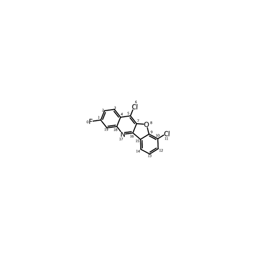 Fc1ccc2c(Cl)c3oc4c(Cl)cccc4c3nc2c1